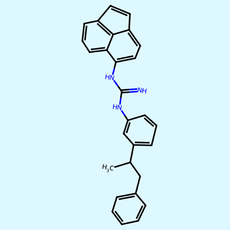 CC(Cc1ccccc1)c1cccc(NC(=N)Nc2ccc3c4c(cccc24)C=C3)c1